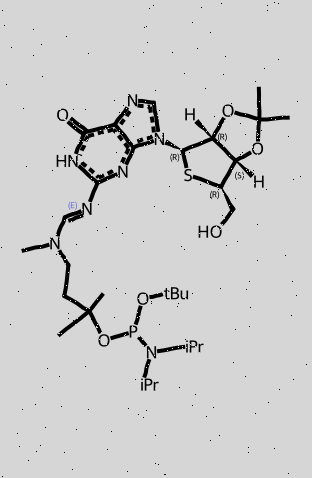 CC(C)N(C(C)C)P(OC(C)(C)C)OC(C)(C)CCN(C)/C=N/c1nc2c(ncn2[C@@H]2S[C@H](CO)[C@H]3OC(C)(C)O[C@H]32)c(=O)[nH]1